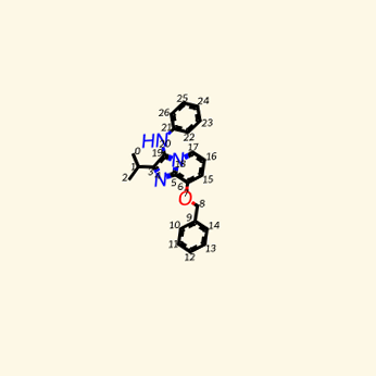 CC(C)c1nc2c(OCc3ccccc3)cccn2c1Nc1ccccc1